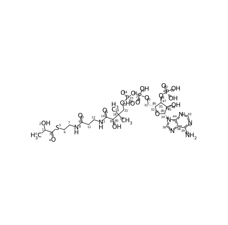 CC(O)C(=O)SCCNC(=O)CCNC(=O)[C@H](O)C(C)(C)COP(=O)(O)OP(=O)(O)OC[C@H]1O[C@@H](n2cnc3c(N)ncnc32)[C@H](O)[C@@H]1OP(=O)(O)O